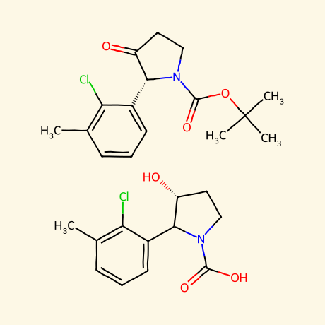 Cc1cccc(C2[C@H](O)CCN2C(=O)O)c1Cl.Cc1cccc([C@@H]2C(=O)CCN2C(=O)OC(C)(C)C)c1Cl